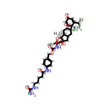 CCCC1OC2CC3C[C@@](F)([C@@]4(C)C=CC(=O)C=C4[C@@H](F)CC)[C@@H](O)C[C@]3(C)[C@]2(C(=O)CNC(=O)OCc2ccc(NC(=O)CCCCNC(N)=O)cc2)O1